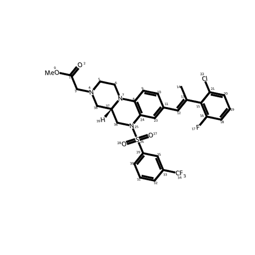 COC(=O)CN1CCN2c3ccc(/C=C(\C)c4c(F)cccc4Cl)cc3N(S(=O)(=O)c3cccc(C(F)(F)F)c3)C[C@@H]2C1